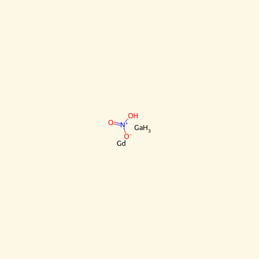 O=[N+]([O-])O.[GaH3].[Gd]